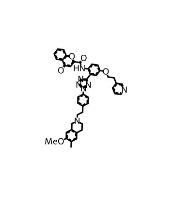 COc1cc2c(cc1C)CCN(CCc1ccc(-n3nnc(-c4cc(OCCc5cccnc5)ccc4NC(=O)c4cc(=O)c5ccccc5o4)n3)cc1)C2